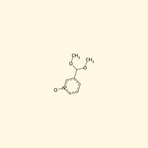 COC(OC)c1ccc[n+]([O-])c1